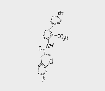 O=C(O)c1c(-c2ccc(Br)cc2)csc1NC(=O)C(F)Cc1ccc(F)cc1Cl